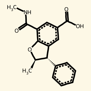 CNC(=O)c1cc(C(=O)O)cc2c1O[C@H](C)[C@H]2c1ccccc1